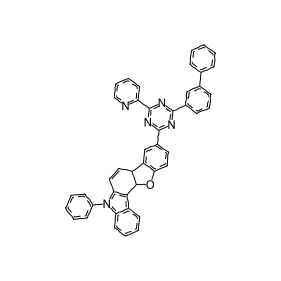 C1=CC2c3cc(-c4nc(-c5cccc(-c6ccccc6)c5)nc(-c5ccccn5)n4)ccc3OC2c2c1n(-c1ccccc1)c1ccccc21